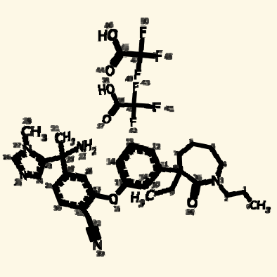 CCCN1CCCCC(CC)(c2cccc(Oc3cc(C(C)(N)c4cncn4C)ccc3C#N)c2)C1=O.O=C(O)C(F)(F)F.O=C(O)C(F)(F)F